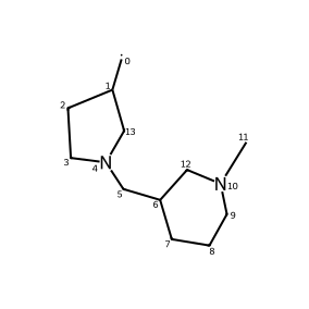 [CH2]C1CCN(CC2CCCN(C)C2)C1